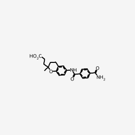 CC1(CCC(=O)O)CCc2cc(NC(=O)c3ccc(C(N)=O)cc3)ccc2O1